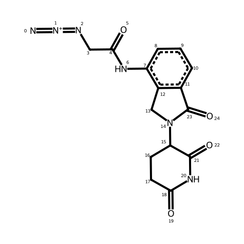 [N-]=[N+]=NCC(=O)Nc1cccc2c1CN(C1CCC(=O)NC1=O)C2=O